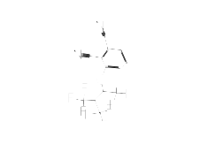 N#Cc1cccc(OC(C(C(F)(F)F)C(F)(F)F)C(F)(F)F)c1C#N